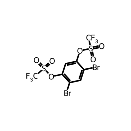 O=S(=O)(Oc1cc(OS(=O)(=O)C(F)(F)F)c(Br)cc1Br)C(F)(F)F